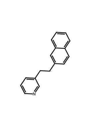 [CH](Cc1cccnc1)c1ccc2ccccc2c1